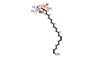 CCC/C=C\CCCC/C=C\CCCCCCCCCCCCC(O)(C[N+](C)(C)C)P(=O)(O)O